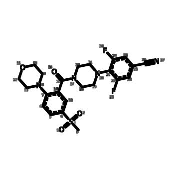 CS(=O)(=O)c1ccc(N2CCOCC2)c(C(=O)N2CCN(c3c(F)cc(C#N)cc3F)CC2)c1